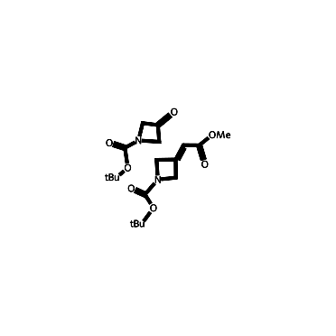 CC(C)(C)OC(=O)N1CC(=O)C1.COC(=O)C=C1CN(C(=O)OC(C)(C)C)C1